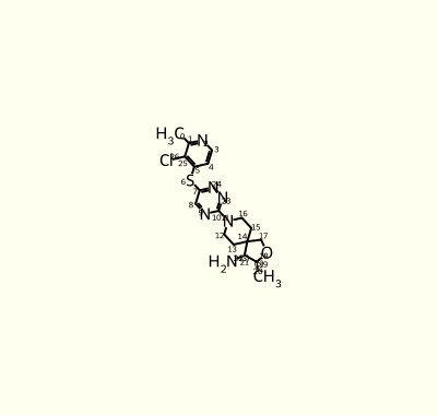 Cc1nccc(Sc2cnc(N3CCC4(CC3)CO[C@@H](C)[C@H]4N)nn2)c1Cl